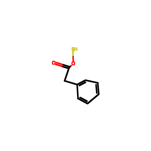 O=C(Cc1ccccc1)OS